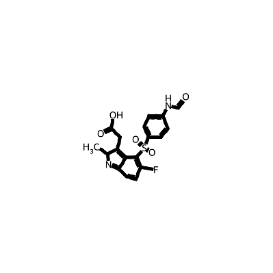 CC1N=c2ccc(F)c(S(=O)(=O)c3ccc(NC=O)cc3)c2=C1CC(=O)O